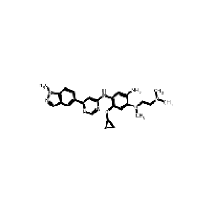 CN(C)CCN(C)c1cc(OC2CC2)c(Nc2cc(-c3ccc4c(cnn4C)c3)ncn2)cc1N